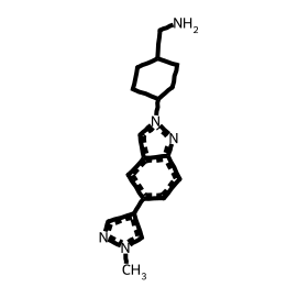 Cn1cc(-c2ccc3nn(C4CCC(CN)CC4)cc3c2)cn1